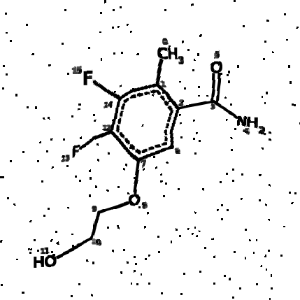 Cc1c(C(N)=O)cc(OCCO)c(F)c1F